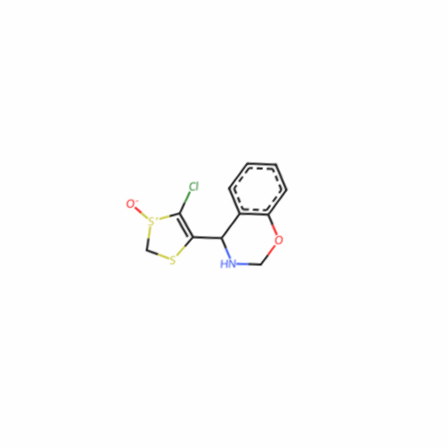 [O-][S+]1CSC(C2NCOc3ccccc32)=C1Cl